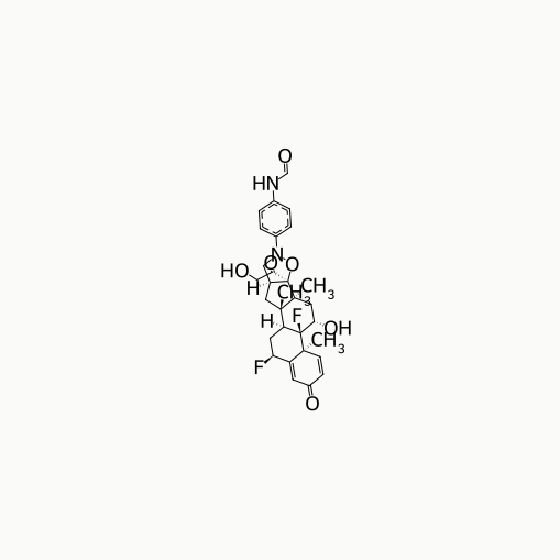 C[C@]12C[C@H](O)[C@@]3(F)[C@@H](C[C@H](F)C4=CC(=O)C=C[C@@]43C)[C@]1(C)C[C@H]1CN(c3ccc(NC=O)cc3)O[C@]12C(=O)CO